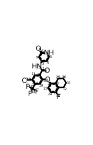 O=C(Nc1cc[nH]c(=O)c1)c1cc(Cl)c(C(F)(F)F)cc1Oc1ccc(F)c2c1CCCC2